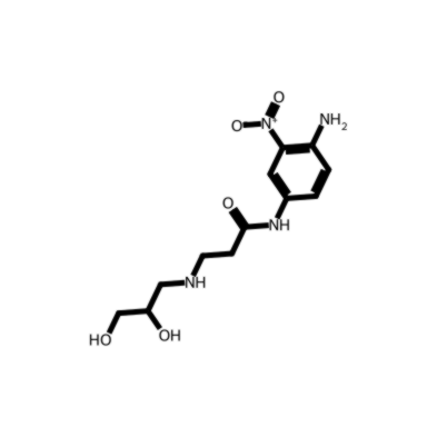 Nc1ccc(NC(=O)CCNCC(O)CO)cc1[N+](=O)[O-]